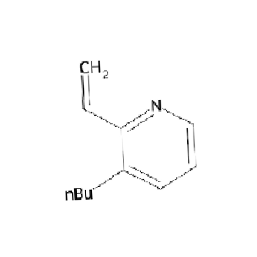 C=Cc1ncccc1CCCC